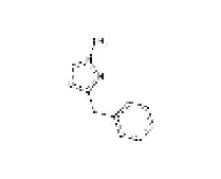 Cn1[c]cc(Cc2ccccc2)n1